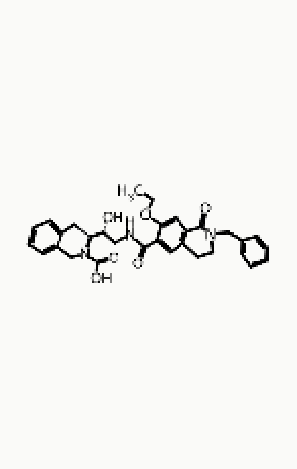 CCOc1cc2c(cc1C(=O)NC[C@@H](O)[C@@H]1Cc3ccccc3CN1C(=O)O)CCN(Cc1ccccc1)C2=O